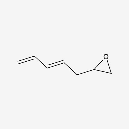 C=CC=CCC1CO1